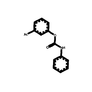 CC(=O)c1cccc(OC(=O)Nc2ccccc2)c1